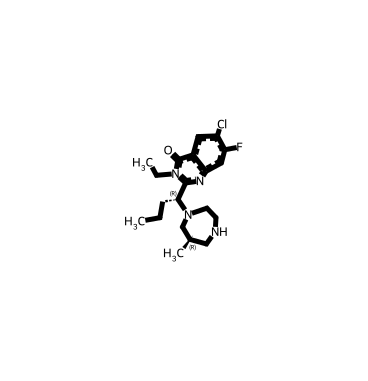 CCC[C@H](c1nc2cc(F)c(Cl)cc2c(=O)n1CC)N1CCNC[C@@H](C)C1